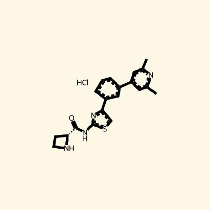 Cc1cc(-c2cccc(-c3csc(NC(=O)[C@H]4CCN4)n3)c2)cc(C)n1.Cl